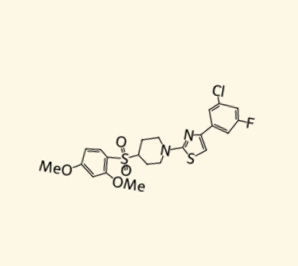 COc1ccc(S(=O)(=O)C2CCN(c3nc(-c4cc(F)cc(Cl)c4)cs3)CC2)c(OC)c1